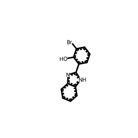 Oc1c(Br)cccc1-c1nc2ccccc2[nH]1